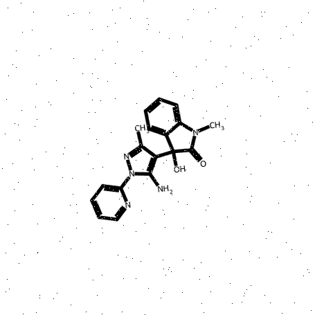 Cc1nn(-c2ccccn2)c(N)c1C1(O)C(=O)N(C)c2ccccc21